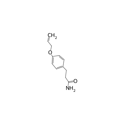 C=CCOc1ccc(CCC(N)=O)cc1